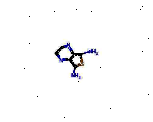 Nc1sc(N)c2nccnc12